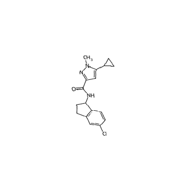 Cn1nc(C(=O)NC2CCc3cc(Cl)ccc32)cc1C1CC1